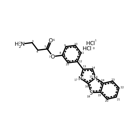 Cl.Cl.NCCC(=O)Oc1cccc(-c2cn3c(n2)sc2ccccc23)c1